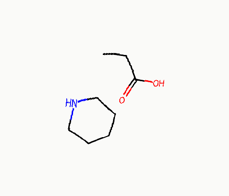 C1CCNCC1.CCC(=O)O